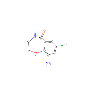 Nc1cc(F)cc2c1OCCNC2=O